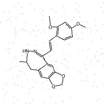 COc1ccc(C=CC2=NNC(C)Cc3cc4c(cc32)OCO4)c(OC)c1